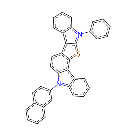 c1ccc(-n2c3ccccc3c3c4ccc5c(c6ccccc6n5-c5ccc6ccccc6c5)c4sc32)cc1